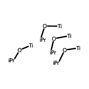 CC(C)[O][Ti].CC(C)[O][Ti].CC(C)[O][Ti].CC(C)[O][Ti]